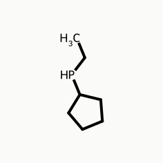 CCPC1CCCC1